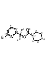 O=C(OC(F)(F)c1cccc(Br)n1)N1CCCCC1